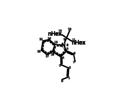 C\C=C/C=c1\c(=C/C)n(C(C)(CCCCCC)CCCCCC)c2ccccc12